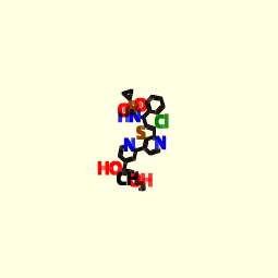 C[C@](O)(CO)c1ccnc(-c2ccnc3cc(C(NS(=O)(=O)C4CC4)c4ccccc4Cl)sc23)c1